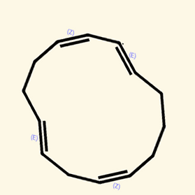 [C]1=C/CCC/C=C\C/C=C/CC\C=C/1